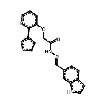 O=C(COc1cccnc1-c1ccsc1)N/N=C/c1ccc2cc[nH]c2c1